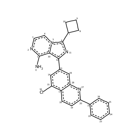 Nc1nccn2c(C3CCC3)nc(-c3cc(Cl)c4ccc(-c5ccccc5)nc4c3)c12